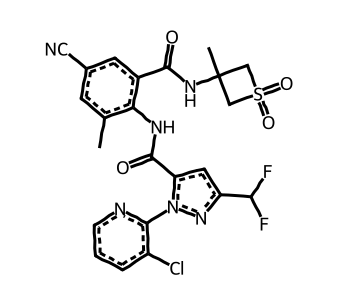 Cc1cc(C#N)cc(C(=O)NC2(C)CS(=O)(=O)C2)c1NC(=O)c1cc(C(F)F)nn1-c1ncccc1Cl